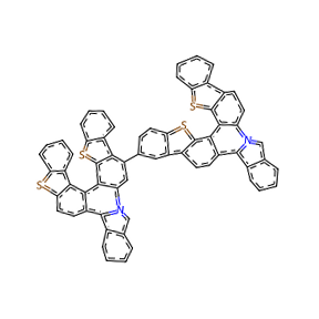 c1ccc2c(c1)cn1c3ccc4c5ccccc5sc4c3c3c(ccc4c5cc(-c6cc7c(c8sc9ccccc9c68)c6c(ccc8sc9ccccc9c86)c6c8ccccc8cn76)ccc5sc43)c21